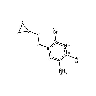 Nc1nc(CCC2CC2)c(Br)nc1Br